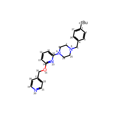 CC(C)(C)c1ccc(CN2CCN(c3cccc(OCc4ccncc4)n3)CC2)cc1